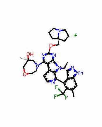 CCn1c2nc(OC[C@@]34CCCN3C[C@H](F)C4)nc(N3CCOC[C@@](C)(O)C3)c2c2ccnc(-c3c(C(F)(F)F)c(C)cc4[nH]ncc34)c21